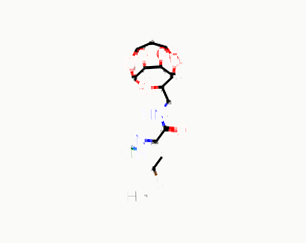 CSCC[C@H](NCl)C(=O)NCC1OC2OCCCOC1C(O)C2O